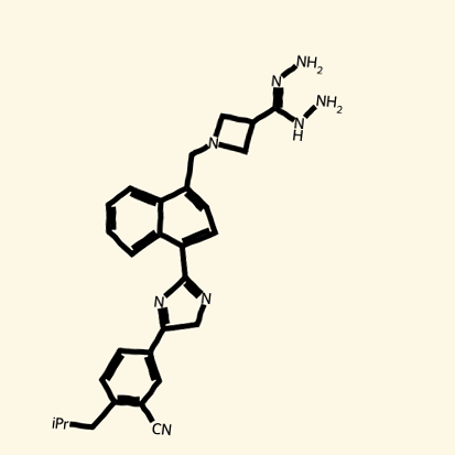 CC(C)Cc1ccc(C2=NC(c3ccc(CN4CC(/C(=N/N)NN)C4)c4ccccc34)=NC2)cc1C#N